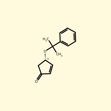 CC(C)(O[C@@H]1C=CC(=O)C1)c1ccccc1